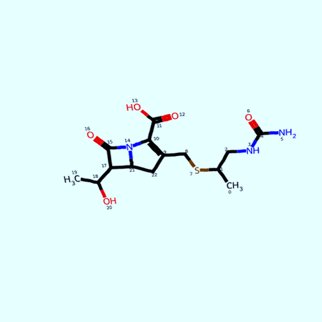 CC(CNC(N)=O)SCC1=C(C(=O)O)N2C(=O)C(C(C)O)C2C1